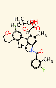 Cc1cc2c(c(-c3cc(F)c4c(c3C)CCCO4)c1[C@H](OC(C)(C)C)C(=O)O)CCN2C(=O)c1cccc(F)c1C